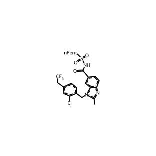 CCCCCS(=O)(=O)NC(=O)c1ccc2nc(C)n(Cc3ccc(CC(F)(F)F)cc3Cl)c2c1